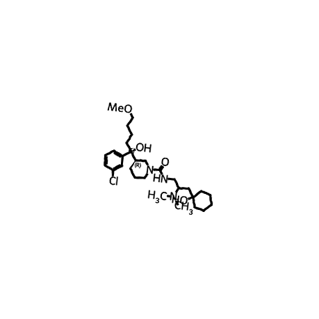 COCCCC[C@@](O)(c1cccc(Cl)c1)[C@@H]1CCCN(C(=O)NCC(CC2(O)CCCCC2)N(C)C)C1